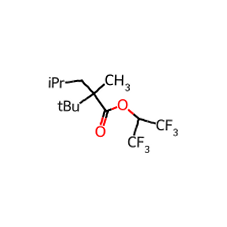 CC(C)CC(C)(C(=O)OC(C(F)(F)F)C(F)(F)F)C(C)(C)C